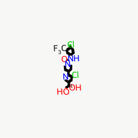 O=C(Nc1ccc(Cl)c(C(F)(F)F)c1)N1CC=C(c2ncc([C@H](O)CO)cc2Cl)CC1